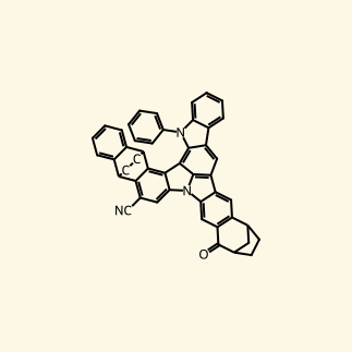 N#Cc1cc2c(c3c1C1CCC3c3ccccc31)c1c3c(cc4c5cc6c(cc5n2c41)C(=O)C1CCC6C1)c1ccccc1n3-c1ccccc1